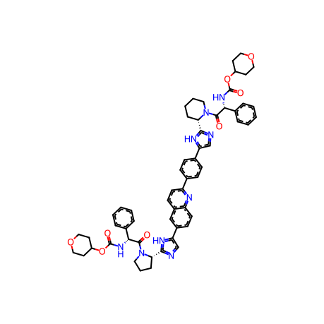 O=C(N[C@@H](C(=O)N1CCCC[C@H]1c1ncc(-c2ccc(-c3ccc4cc(-c5cnc([C@@H]6CCCN6C(=O)[C@H](NC(=O)OC6CCOCC6)c6ccccc6)[nH]5)ccc4n3)cc2)[nH]1)c1ccccc1)OC1CCOCC1